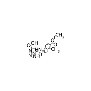 C=CCOC(=O)c1ccc2c(c1C)CC[C@@H]2NC(=O)C1=CC(C(=O)O)=NC2=NCNN12